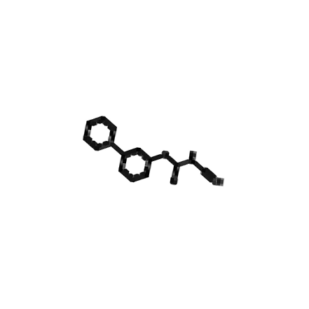 C#CNC(=O)Oc1cccc(-c2ccccc2)c1